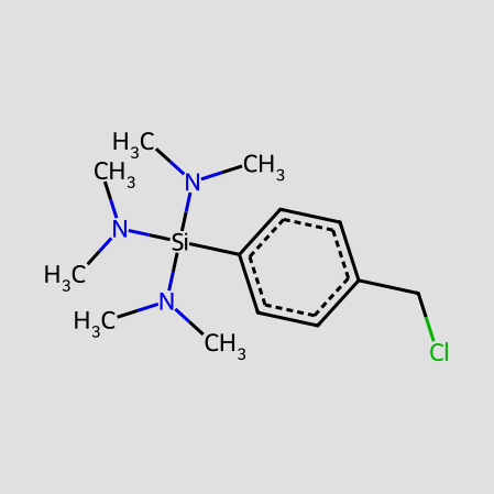 CN(C)[Si](c1ccc(CCl)cc1)(N(C)C)N(C)C